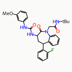 COc1cccc(NC(=O)NC2CC(c3ccccc3F)c3ccccc3N(CC(=O)NC(C)(C)C)C2=O)c1